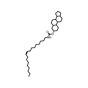 CCCCCCCC/C=C\CCCCCCCCNC(=O)O[C@@H]1CCC2C(CCC3C4CCCC4CCC23)C1